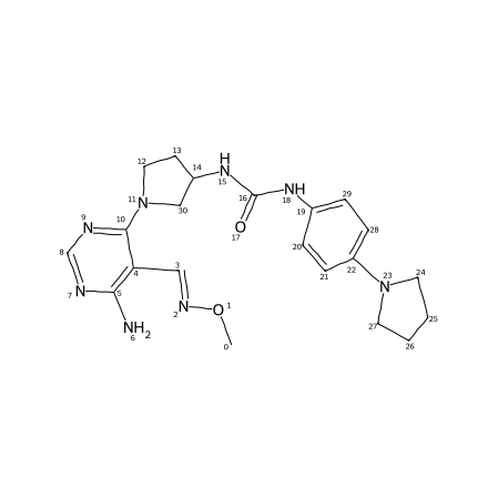 CO/N=C/c1c(N)ncnc1N1CCC(NC(=O)Nc2ccc(N3CCCC3)cc2)C1